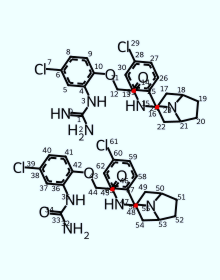 N=C(N)Nc1cc(Cl)ccc1OCC(=O)NC1CC2CCC(C1)N2Cc1ccc(Cl)cc1.NC(=O)Nc1cc(Cl)ccc1OCC(=O)NC1CC2CCC(C1)N2Cc1ccc(Cl)cc1